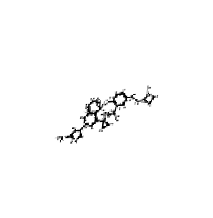 Cc1ncc(-c2cc(C3(NC(=O)c4cc(OCC5CCN5)ccc4C)CC3)c3cccnc3c2)o1